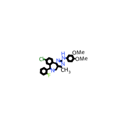 COc1ccc(Nc2nc(C)c3c(n2)-c2ccc(Cl)cc2C(c2ccccc2F)=NC3)cc1OC